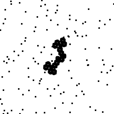 c1ccc2c(N(c3ccc4cc5c(cc4c3)oc3c5ccc4oc5cc6cc(N(c7cccc8ccccc78)c7cccc8ccccc78)ccc6cc5c43)c3cccc4ccccc34)cccc2c1